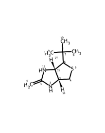 C=C1N[C@H]2CSC(C(C)(C)C)[C@H]2N1